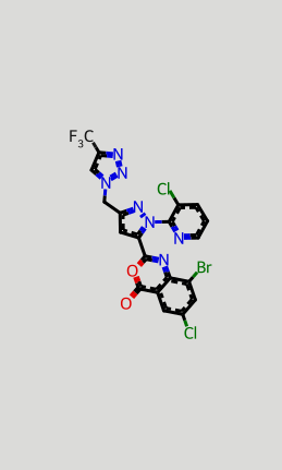 O=c1oc(-c2cc(Cn3cc(C(F)(F)F)nn3)nn2-c2ncccc2Cl)nc2c(Br)cc(Cl)cc12